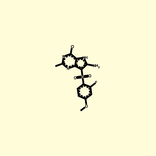 COc1ccc(S(=O)(=O)c2c(N)[nH]c3c(Cl)nc(C)nc23)c(F)c1